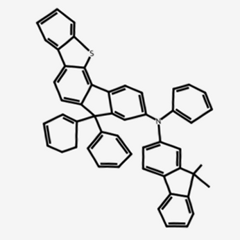 CC1(C)c2ccccc2-c2ccc(N(c3ccccc3)c3ccc4c(c3)C(C3=CC=CCC3)(c3ccccc3)c3ccc5c(sc6ccccc65)c3-4)cc21